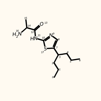 CCCC(CCC)c1cnc(NC(=O)C(C)N)s1